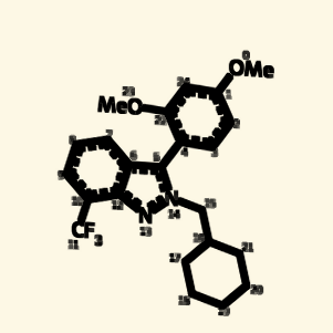 COc1ccc(-c2c3cccc(C(F)(F)F)c3nn2CC2CCCCC2)c(OC)c1